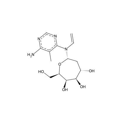 C=CN(c1ncnc(N)c1C)[C@@H]1C[C@H](O)[C@@H](O)[C@@H](O)[C@@H](CO)O1